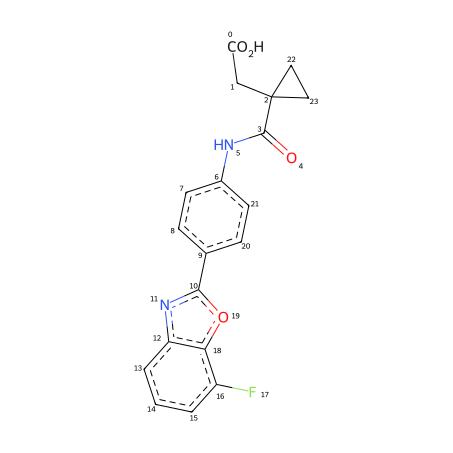 O=C(O)CC1(C(=O)Nc2ccc(-c3nc4cccc(F)c4o3)cc2)CC1